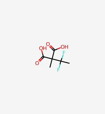 CC(F)(F)C(C)(C(=O)O)C(=O)O